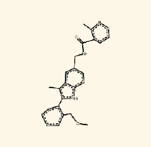 COCc1ccccc1-c1[nH]c2ccc(CNC(=O)c3ccnnc3C)cc2c1C